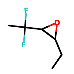 CCC1OC1C(C)(F)F